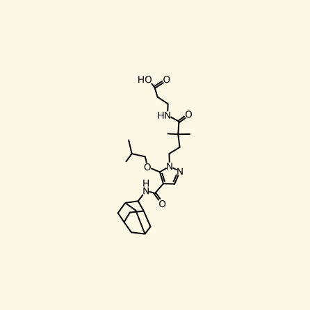 CC(C)COc1c(C(=O)NC2C3CC4CC(C3)CC2C4)cnn1CCC(C)(C)C(=O)NCCC(=O)O